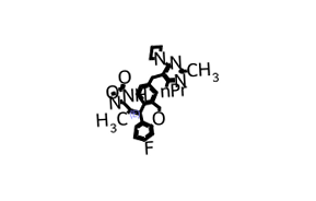 CCCc1nc(C)nc(N2CCC2)c1Cc1ccc2c(c1)COc1cc(F)ccc1/C2=C(\C)c1noc(=O)[nH]1